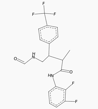 CC(C(=O)Nc1cccc(F)c1F)C(CNC=O)c1ccc(C(F)(F)F)cc1